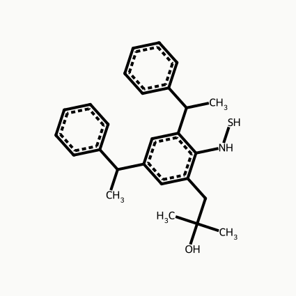 CC(c1ccccc1)c1cc(CC(C)(C)O)c(NS)c(C(C)c2ccccc2)c1